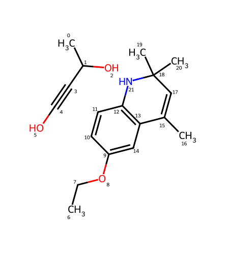 CC(O)C#CO.CCOc1ccc2c(c1)C(C)=CC(C)(C)N2